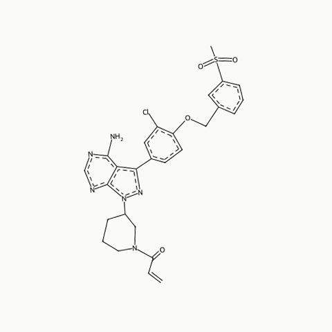 C=CC(=O)N1CCCC(n2nc(-c3ccc(OCc4cccc(S(C)(=O)=O)c4)c(Cl)c3)c3c(N)ncnc32)C1